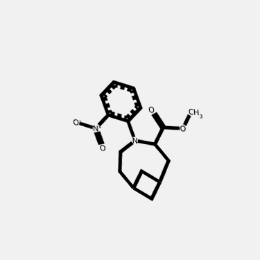 COC(=O)C1CC2CC(CCN1c1ccccc1[N+](=O)[O-])C2